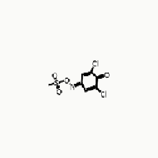 CS(=O)(=O)ON=C1C=C(Cl)C(=O)C(Cl)=C1